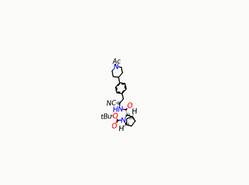 CC(=O)N1CCC(c2ccc(C[C@@H](C#N)NC(=O)[C@@H]3[C@H]4CC[C@H](C4)N3C(=O)OC(C)(C)C)cc2)CC1